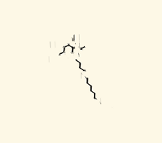 CC(=O)NC1C(OCCCC(=O)NCCCCCCN)OC(CO)C(O)C1OI